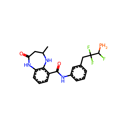 CC1CC(=O)Nc2cccc(C(=O)Nc3cccc(CC(F)(F)C(F)P)c3)c2N1